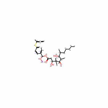 C=C=C(C)SC(=C)/C=C\C(=C/C)C(OI)OC(=O)CC(O)C(C)(C)C(=O)C(C)C(O)C(C)CCCCC